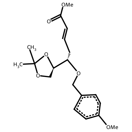 COC(=O)/C=C/C[C@H](OCc1ccc(OC)cc1)[C@H]1COC(C)(C)O1